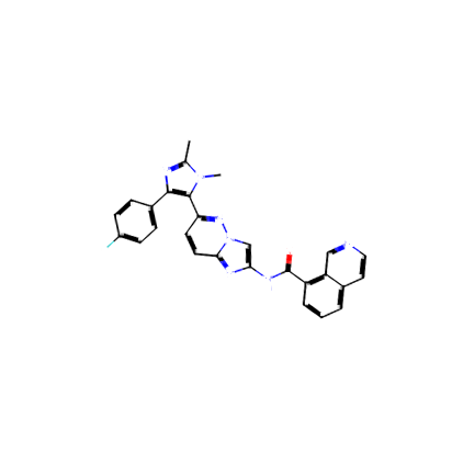 Cc1nc(-c2ccc(F)cc2)c(-c2ccc3nc(NC(=O)c4cccc5ccncc45)cn3n2)n1C